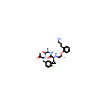 CC(=O)[C@@H](Cc1ccc(F)cc1)NC(=O)[C@@H](C)N(C)C(=O)[C@@H](NC[C@@H](C)Oc1ccccc1CCCN)C1CC1